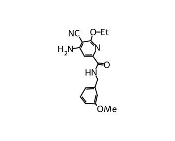 CCOc1nc(C(=O)NCc2cccc(OC)c2)cc(N)c1C#N